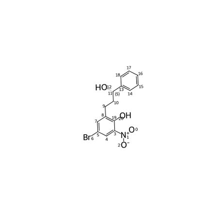 O=[N+]([O-])c1cc(Br)cc(CC[C@H](O)c2ccccc2)c1O